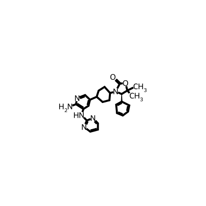 CC1(C)OC(=O)N(C2CCC(c3cnc(N)c(Nc4ncccn4)c3)CC2)[C@@H]1c1ccccc1